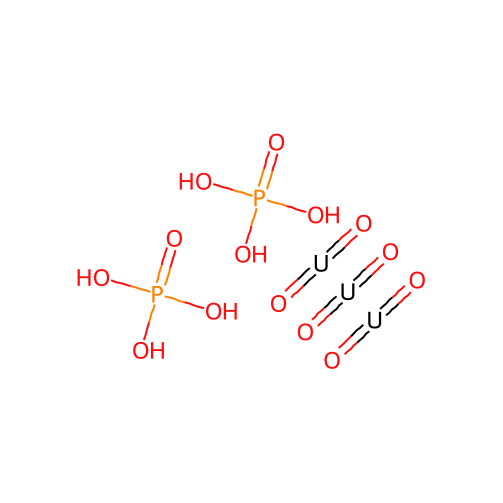 O=P(O)(O)O.O=P(O)(O)O.[O]=[U]=[O].[O]=[U]=[O].[O]=[U]=[O]